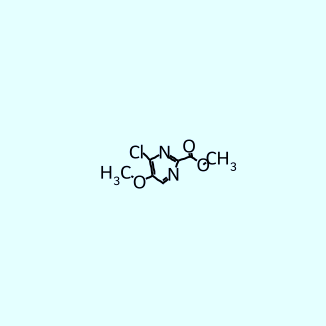 COC(=O)c1ncc(OC)c(Cl)n1